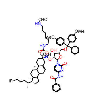 COc1ccc(C(OC[C@H]2O[C@@H](n3ccc(NC(=O)c4ccccc4)nc3=O)[C@H](ON(OC(=O)NCCCCCCNC=O)C3(C(=O)O)CC[C@@]4(C)C(=CCC5C4CC[C@@]4(C)C5CC[C@@H]4[C@H](C)CCCC(C)C)C3)[C@@H]2O)(c2ccccc2)c2ccc(OC)cc2)cc1